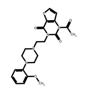 COc1ccccc1N1CCN(CCn2c(=O)c3sccc3n(C(C)=O)c2=O)CC1